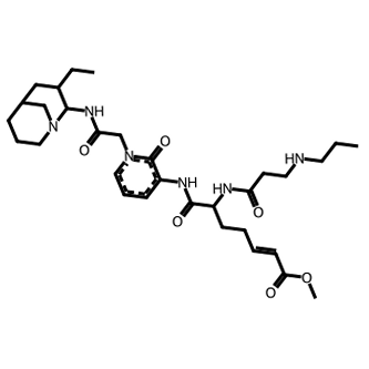 CCCNCCC(=O)NC(CC/C=C/C(=O)OC)C(=O)Nc1cccn(CC(=O)NC2C(CC)CC3CCCN2C3)c1=O